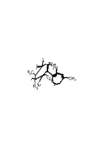 CC1=C(c2ccc(C)cc2C)C(C)(C)C(I)(I)C(C)C1(I)I